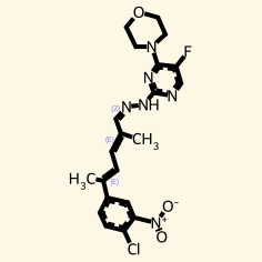 CC(/C=N\Nc1ncc(F)c(N2CCOCC2)n1)=C\C=C(/C)c1ccc(Cl)c([N+](=O)[O-])c1